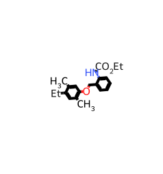 CCOC(=O)Nc1ccccc1COc1cc(C)c(CC)cc1C